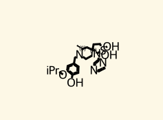 CC(C)Oc1cc(CN2CC[C@]3(CCS(O)(O)N3c3cnccn3)C[C@@H]2C)ccc1O